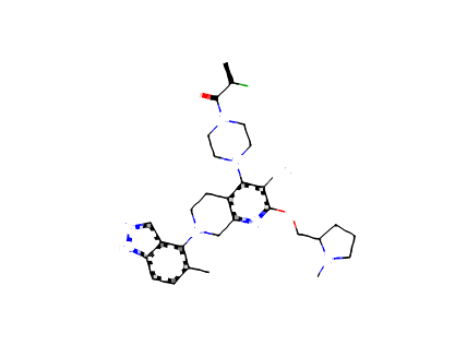 C=C(F)C(=O)N1CCN(c2c(C#N)c(OCC3CCCN3C)nc3c2CCN(c2c(C)ccc4[nH]ncc24)C3)CC1